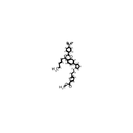 CCCCCC(OC(=O)c1ccc([N+](=O)[O-])cc1)c1ccc(C2=CCC[C@@H]2CCCc2ccc(C(=O)OC)s2)cc1